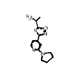 CC(N)c1nc(-c2ccnc(N3CCCC3)c2)no1